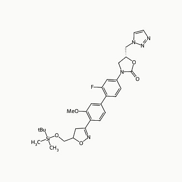 COc1cc(-c2ccc(N3C[C@H](Cn4ccnn4)OC3=O)cc2F)ccc1C1=NOC(CO[Si](C)(C)C(C)(C)C)C1